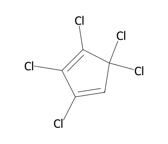 ClC1=CC(Cl)(Cl)C(Cl)=C1Cl